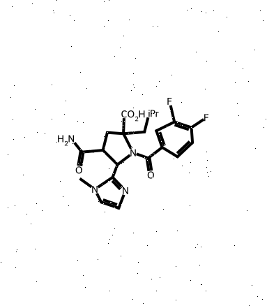 CC(C)CC1(C(=O)O)CC(C(N)=O)C(c2nccn2C)N1C(=O)c1ccc(F)c(F)c1